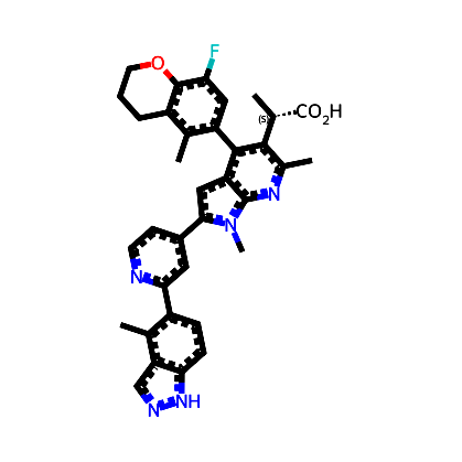 Cc1nc2c(cc(-c3ccnc(-c4ccc5[nH]ncc5c4C)c3)n2C)c(-c2cc(F)c3c(c2C)CCCO3)c1[C@H](C)C(=O)O